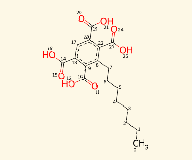 CCCCCCCCc1c(C(=O)O)c(C(=O)O)cc(C(=O)O)c1C(=O)O